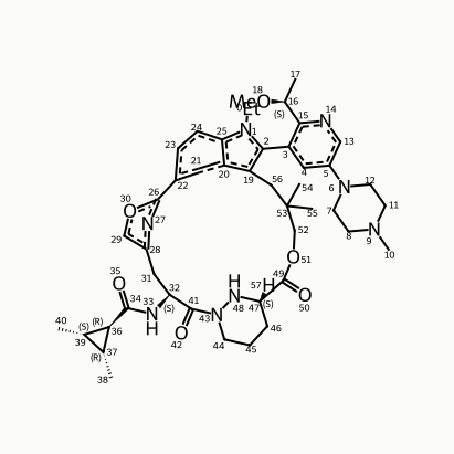 CCn1c(-c2cc(N3CCN(C)CC3)cnc2[C@H](C)OC)c2c3cc(ccc31)-c1nc(co1)C[C@H](NC(=O)[C@H]1[C@H](C)[C@@H]1C)C(=O)N1CCC[C@H](N1)C(=O)OCC(C)(C)C2